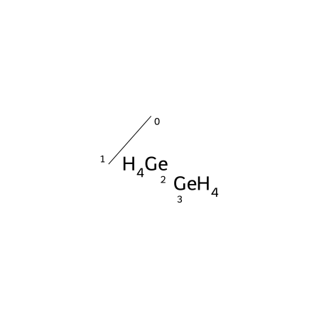 CC.[GeH4].[GeH4]